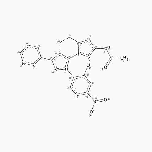 CC(=O)Nc1nc2c(s1)-c1c(c(-c3cccnc3)nn1-c1ccc([N+](=O)[O-])cc1Cl)CC2